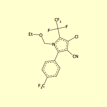 CCOCn1c(-c2ccc(C(F)(F)F)cc2)c(C#N)c(Cl)c1C(F)(F)C(F)(F)F